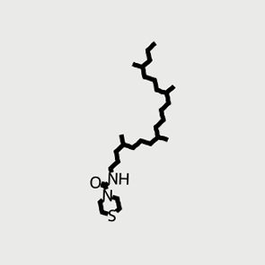 CCCC(C)CCCC(C)CCCCC(C)CCCC(C)CCCNC(=O)N1CCSCC1